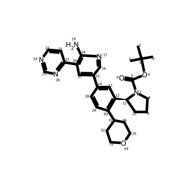 CC(C)(C)OC(=O)N1CCC[C@H]1c1cc(-c2cnc(N)c(-c3ccncn3)c2)ccc1C1CCOCC1